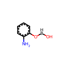 Nc1ccccc1OBO